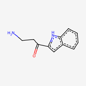 NCCC(=O)c1cc2ccccc2[nH]1